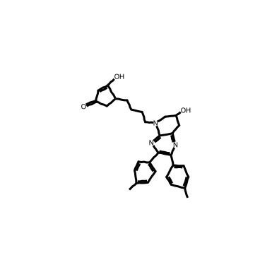 Cc1ccc(-c2nc3c(nc2-c2ccc(C)cc2)N(CCCCC2CC(=O)C=C2O)CC(O)C3)cc1